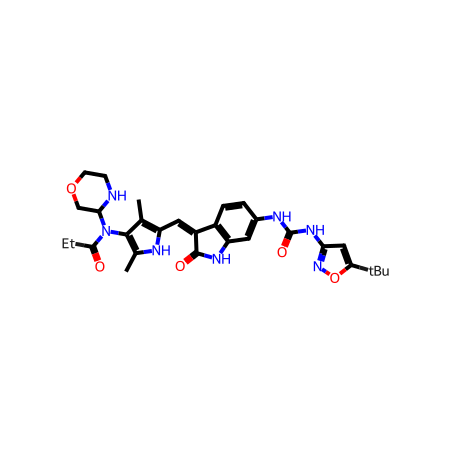 CCC(=O)N(c1c(C)[nH]c(C=C2C(=O)Nc3cc(NC(=O)Nc4cc(C(C)(C)C)on4)ccc32)c1C)C1COCCN1